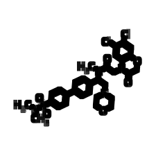 CN(C(=O)CN1C(=O)COc2cc(Cl)c(Cl)cc21)C(CN1CCOCC1)c1ccc(-c2ccc(S(=O)(=O)N(C)C)cc2)cc1